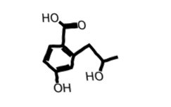 CC(O)Cc1cc(O)ccc1C(=O)O